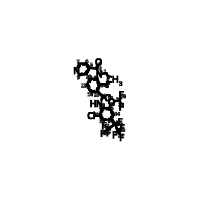 CCN(C(=O)c1ccncc1)c1cccc(C(=O)Nc2c(Cl)cc(C(F)(C(F)(F)F)C(F)(F)F)cc2OC(F)F)c1F